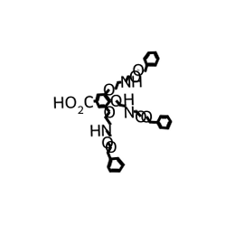 O=C(O)c1cc(OCCNCOOCc2ccccc2)c(OCCNCOOCc2ccccc2)c(OCCNCOOCc2ccccc2)c1